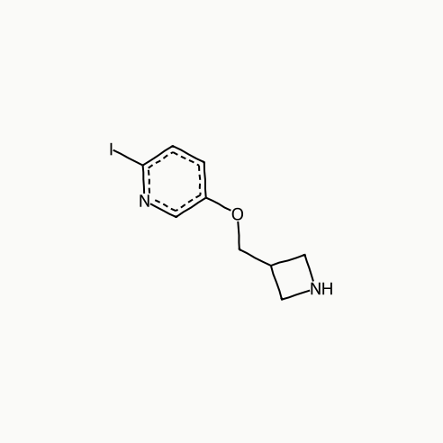 Ic1ccc(OCC2CNC2)cn1